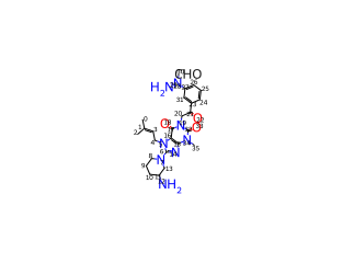 CC(C)=CCn1c(N2CCCC(N)C2)nc2c1c(=O)n(CC(=O)c1cccc(N(N)C=O)c1)c(=O)n2C